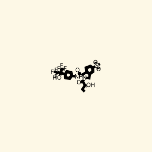 CC[C@H](O)C(=O)N1Cc2cc(S(C)(=O)=O)ccc2[C@@H]1C(=O)Nc1ccc(C(O)(C(F)(F)F)C(F)(F)F)cc1